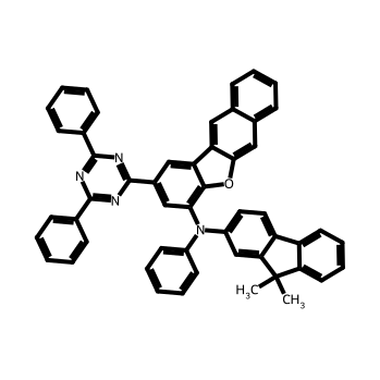 CC1(C)c2ccccc2-c2ccc(N(c3ccccc3)c3cc(-c4nc(-c5ccccc5)nc(-c5ccccc5)n4)cc4c3oc3cc5ccccc5cc34)cc21